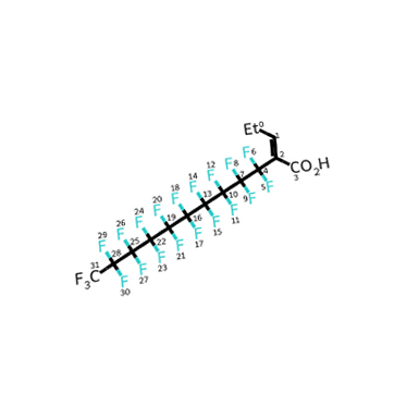 CCC=C(C(=O)O)C(F)(F)C(F)(F)C(F)(F)C(F)(F)C(F)(F)C(F)(F)C(F)(F)C(F)(F)C(F)(F)C(F)(F)F